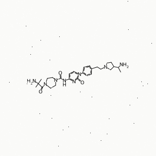 CC(N)C1CCN(CCc2ccc(-n3ccc(NC(=O)N4CCN(C(=O)C(C)(C)N)CC4)nc3=O)cc2)C1